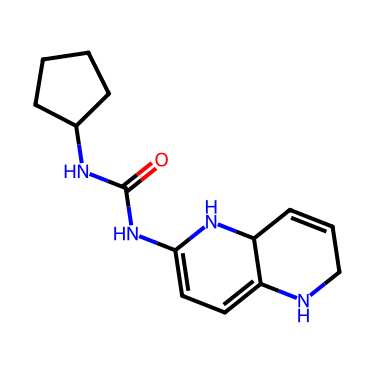 O=C(NC1=CC=C2NCC=CC2N1)NC1CCCC1